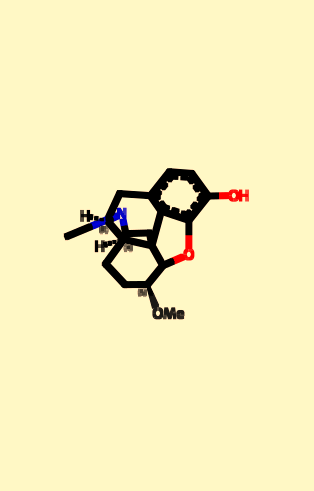 CO[C@H]1CC[C@H]2[C@H]3Cc4ccc(O)c5c4C2(CCN3C)C1O5